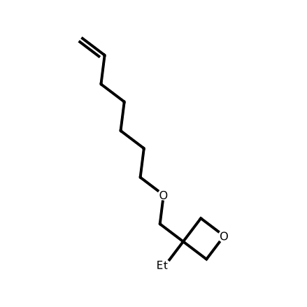 C=CCCCCCOCC1(CC)COC1